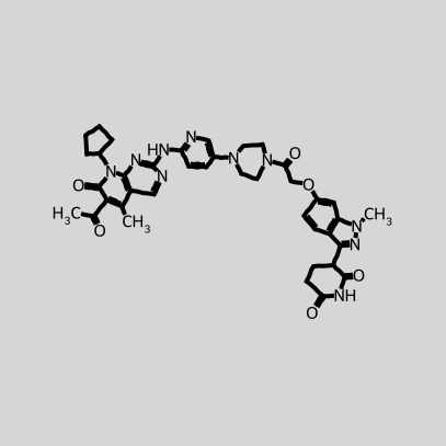 CC(=O)c1c(C)c2cnc(Nc3ccc(N4CCN(C(=O)COc5ccc6c(C7CCC(=O)NC7=O)nn(C)c6c5)CC4)cn3)nc2n(C2CCCC2)c1=O